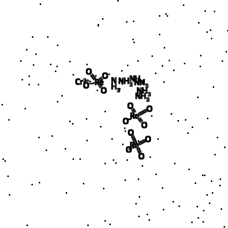 N.N.N.N.N.N.[Cr+3].[O]=[Re](=[O])(=[O])[O-].[O]=[Re](=[O])(=[O])[O-].[O]=[Re](=[O])(=[O])[O-]